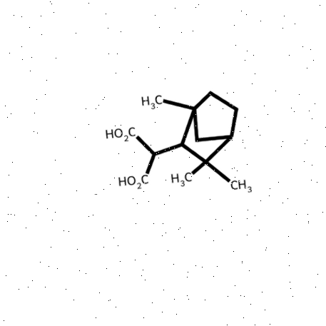 CC12CCC(C1)C(C)(C)C2C(C(=O)O)C(=O)O